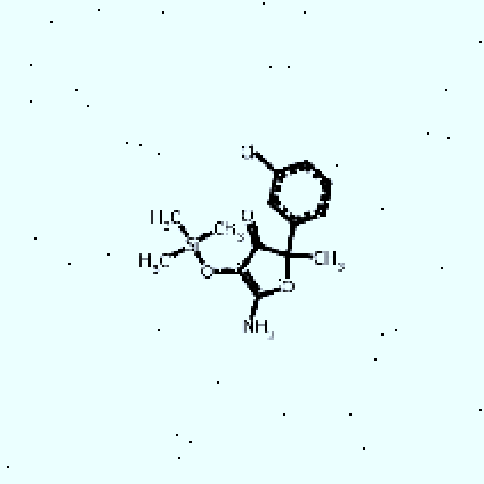 CC1(c2cccc(Cl)c2)OC(N)=C(O[Si](C)(C)C)C1=O